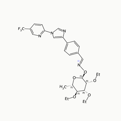 CCO[C@@H]1[C@@H](OCC)[C@H](C)O[C@@H](O/N=C/c2ccc(-c3cn(-c4ccc(C(F)(F)F)cn4)cn3)cc2)[C@@H]1OCC